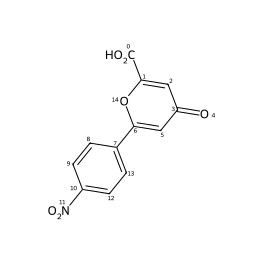 O=C(O)c1cc(=O)cc(-c2ccc([N+](=O)[O-])cc2)o1